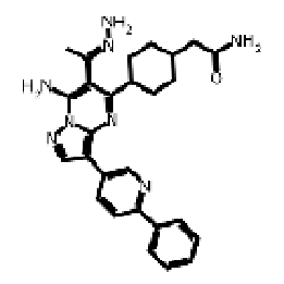 C/C(=N\N)c1c(C2CCC(CC(N)=O)CC2)nc2c(-c3ccc(-c4ccccc4)nc3)cnn2c1N